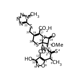 CO[C@@]1(NC(=S)C(C)c2onc(O)c2C(=O)O)C(=O)N2C(C(=O)O)=C(CSc3nnnn3C)CS[C@H]21